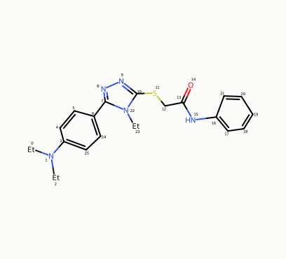 CCN(CC)c1ccc(-c2nnc(SCC(=O)Nc3ccccc3)n2CC)cc1